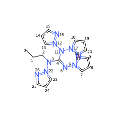 CCCN(C(=Nn1cccn1)N(n1cccn1)n1cccn1)n1cccn1